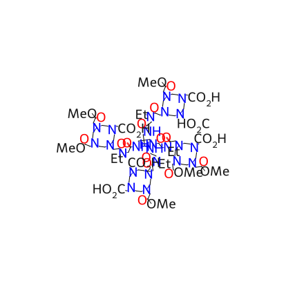 CCN(CC(=O)NCC(CNC(=O)CN(CC)C(=O)CN1CCN(CC(=O)O)CCN(CC(=O)O)CCN(CC(=O)OC)CC1)(CNC(=O)CN(CC)C(=O)CN1CCN(CC(=O)O)CCN(CC(=O)OC)CCN(CC(=O)OC)CC1)CNC(=O)CN(CC)C(=O)CN1CCN(CC(=O)O)CCN(CC(=O)OC)CCN(CC(=O)OC)CC1)C(=O)CN1CCN(CC(=O)O)CCN(CC(=O)O)CCN(CC(=O)OC)CC1